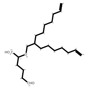 C=CCCCCCC(CCCCCC=C)COC(CCCC=O)C(=O)O